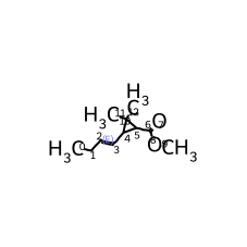 CC/C=C/C1C(C(=O)OC)C1(C)C